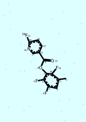 Cc1cc(F)c(F)c(OC(=O)c2ccc([18F])nc2)c1F